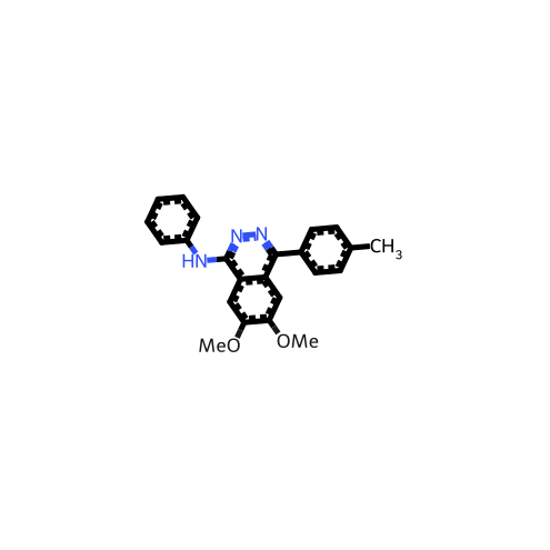 COc1cc2c(Nc3ccccc3)nnc(-c3ccc(C)cc3)c2cc1OC